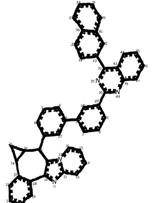 c1cc(-c2cccc(C3c4c(nc5ccccn45)-c4ccccc4C4CC43)c2)cc(-c2nc(-c3ccc4ccccc4c3)c3ccccc3n2)c1